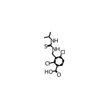 CC(C)NC(=S)NCc1c(Cl)ccc(C(=O)O)c1Cl